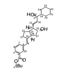 CC(C)(C)OC(=O)c1cccc(C=C2CC[C@H]3[C@@H](/C=C/[C@@H](O)C4CCCCC4)[C@H](O)C[C@@H]23)c1